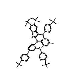 Cc1cc2c3c(c1)N(c1ccc(C(C)(C)C)cc1)c1c(sc4cc5c(cc14)C(C)(C)CCC5(C)C)B3c1ccc(-c3ccc(C(C)(C)C)cc3)cc1N2c1ccc(C(C)(C)C)cc1